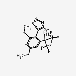 CCc1[c]c(CC)c(-c2snnc2C)c(C(F)(C(F)(F)F)C(F)(F)F)c1